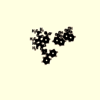 CC1=C(C(=O)OC(C)C)C(c2cccc([N+](=O)[O-])c2)C(C(=O)OC2CN(C(c3ccccc3)c3ccccc3)C2)=C(N)N1.O=S(=O)(O)c1cccc2ccccc12.O=S(=O)(O)c1cccc2ccccc12